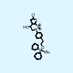 CC(C)(C)[Si](OCCc1ccc(N2CC(O)c3cc(Cl)sc3S2(=O)=O)cc1)(c1ccccc1)c1ccccc1